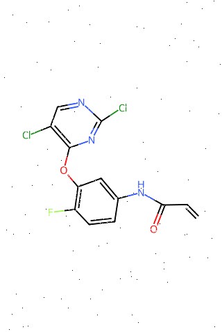 C=CC(=O)Nc1ccc(F)c(Oc2nc(Cl)ncc2Cl)c1